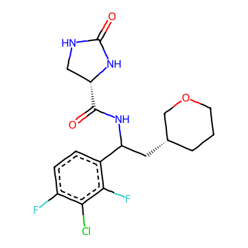 O=C1NC[C@@H](C(=O)NC(C[C@H]2CCCOC2)c2ccc(F)c(Cl)c2F)N1